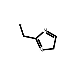 [CH2]CC1=NCC=N1